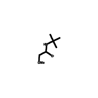 COCC([O])NC(C)(C)C